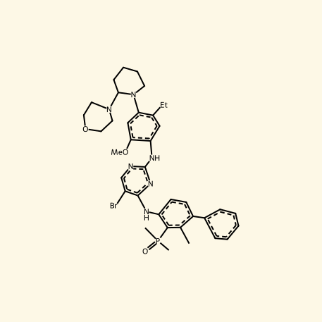 CCc1cc(Nc2ncc(Br)c(Nc3ccc(-c4ccccc4)c(C)c3P(C)(C)=O)n2)c(OC)cc1N1CCCCC1N1CCOCC1